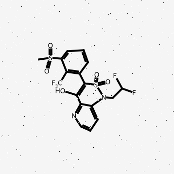 CS(=O)(=O)c1cccc(C2=C(O)c3ncccc3N(CC(F)F)S2(=O)=O)c1C(F)(F)F